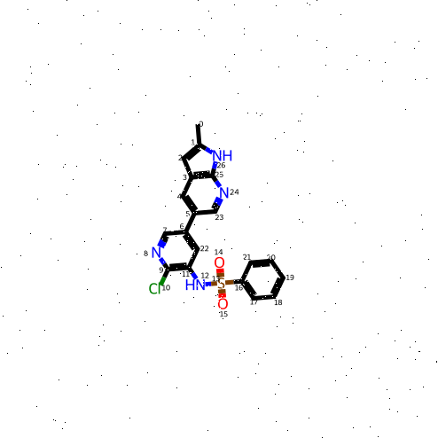 Cc1cc2cc(-c3cnc(Cl)c(NS(=O)(=O)c4ccccc4)c3)cnc2[nH]1